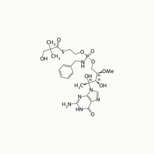 CO[C@H](COP(=O)(NCc1ccccc1)OCCSC(=O)C(C)(C)CO)[C@@H](O)[C@@](C)(O)n1cnc2c(=O)[nH]c(N)nc21